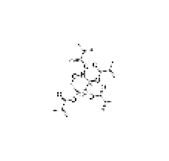 C=C(C)C(=O)O[C@@H]1[C@H](OC(=O)C(=C)C)CON(OC(=O)C(=C)C)[C@H]1OC(=O)C(=C)C